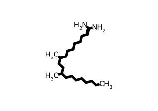 CCCCCCCCC(C)CCC(C)CCCCCCC=C(N)N